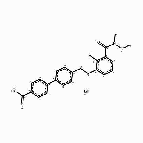 CON(C)C(=O)c1cccc(CCc2ccc(-c3ccc(C(=O)O)cc3)cc2)c1C.[LiH]